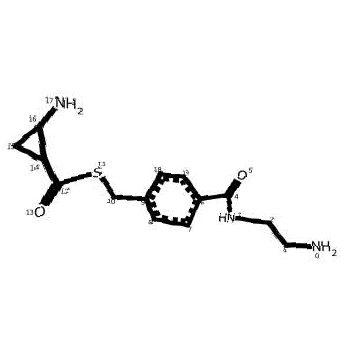 NCCNC(=O)c1ccc(CSC(=O)C2CC2N)cc1